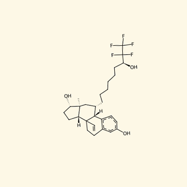 C=CC12CCc3cc(O)ccc3[C@H]1[C@@H](CCCCCC[C@H](O)C(F)(F)C(F)(F)F)C[C@]1(C)[C@@H](O)CC[C@@H]21